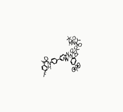 COc1cc(S(C)(=O)=O)ccc1N(C(=O)OC(C)OC(=O)[C@@H](NC(=O)OC(C)(C)C)C(C)C)c1nc2ccc(-c3ccc(NC(=O)[C@H](C)c4ccc(F)cc4)cc3)cn2n1